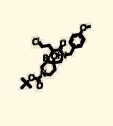 COc1ccc(CN(CC2(O)CCN(C(=O)OC(C)(C)C)CC2)C(=O)C(Br)CCCl)cc1